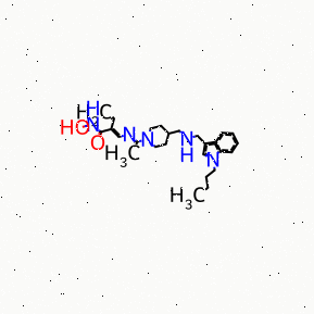 C=C/C(=C\N=C(/C)N1CCC(CNCc2cn(CCCC)c3ccccc23)CC1)C(=O)NO